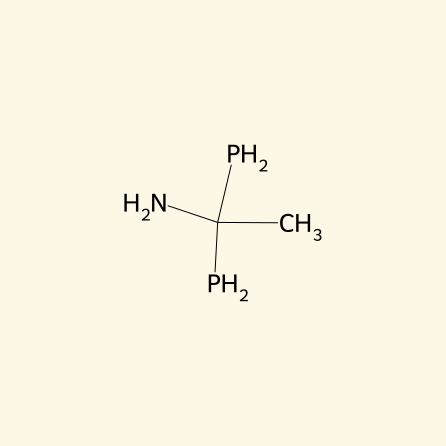 CC(N)(P)P